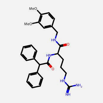 COc1ccc(CNC(=O)C(CCCNC(=N)N)NC(=O)C(c2ccccc2)c2ccccc2)cc1OC